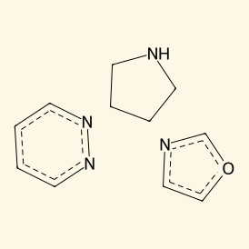 C1CCNC1.c1ccnnc1.c1cocn1